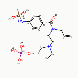 C=CCN(CCN(CC)CC)C(=O)c1ccc(NS(C)(=O)=O)cc1.O=P(O)(O)O